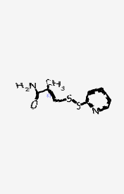 C/C(=C\SSc1ccccn1)C(N)=O